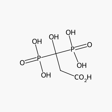 O=C(O)CC(O)(P(=O)(O)O)P(=O)(O)O